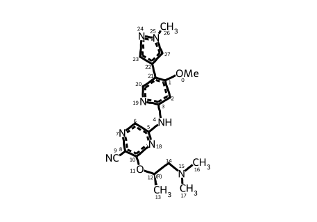 COc1cc(Nc2cnc(C#N)c(O[C@H](C)CN(C)C)n2)ncc1-c1cnn(C)c1